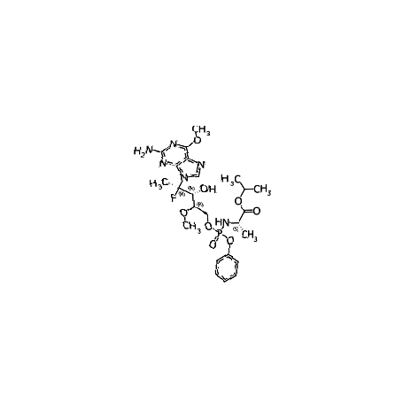 COc1nc(N)nc2c1ncn2[C@](C)(F)[C@H](O)[C@@H](COP(=O)(N[C@@H](C)C(=O)OC(C)C)Oc1ccccc1)OC